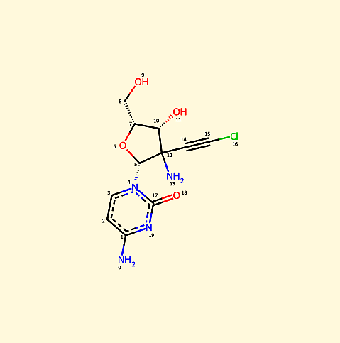 Nc1ccn([C@@H]2O[C@H](CO)[C@H](O)C2(N)C#CCl)c(=O)n1